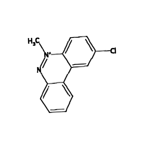 C[n+]1nc2ccccc2c2cc(Cl)ccc21